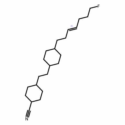 N#CC1CCC(CCC2CCC(CC/C=C/CCCF)CC2)CC1